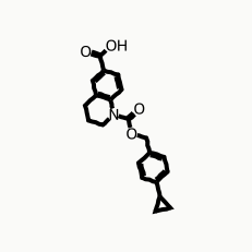 O=C(O)c1ccc2c(c1)CCCN2C(=O)OCc1ccc(C2CC2)cc1